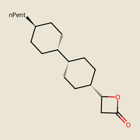 CCCCC[C@H]1CC[C@H]([C@H]2CC[C@@H](C3CC(=O)O3)CC2)CC1